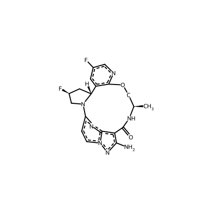 C[C@@H]1COc2ncc(F)cc2[C@H]2C[C@H](F)CN2c2ccn3nc(N)c(c3n2)C(=O)N1